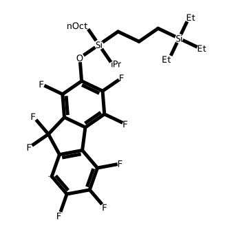 CCCCCCCC[Si](CCC[Si](CC)(CC)CC)(Oc1c(F)c(F)c2c(c1F)C(F)(F)c1[c]c(F)c(F)c(F)c1-2)C(C)C